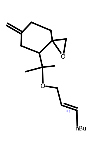 C=C1CCC2(CO2)C(C(C)(C)OC/C=C/CCCC)C1